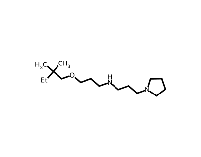 CCC(C)(C)COCCCNCCCN1CCCC1